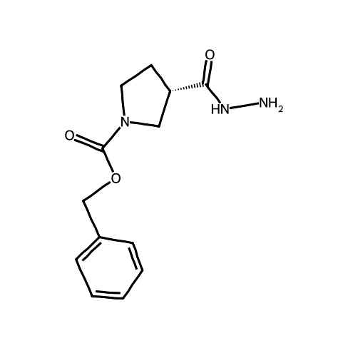 NNC(=O)[C@H]1CCN(C(=O)OCc2ccccc2)C1